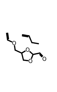 C=CCC.C=COCC1COC(C=O)O1